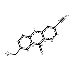 CCc1ccc2sc3cc(C#N)ccc3c(=O)c2c1